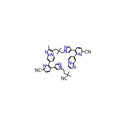 Cc1nc2cc(-c3nc(C#N)ccc3-c3cnn(CCC(C)(C)C#N)c3)ccn2c1CC(C)(C)Cn1cc(-c2ccc(C#N)nc2-c2ccn3ccnc3c2)cn1